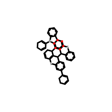 C1=CCCC(c2ccc3c(c2)SC2=C(C(C4=CC=CC5c6ccccc6N(C6=CCCC=C6)C45)CC=C2)C3C2C3=C(CCC=C3)Sc3ccccc32)=C1